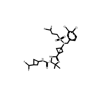 CC1(C)N=C(C23CC(N(Cc4ccc(Cl)c(Cl)c4)S(=O)(=O)CCC(F)F)(C2)C3)N[C@H]1C(=O)NC1CC(C(F)F)C1